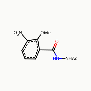 COc1c(C(=O)NNC(C)=O)cccc1[N+](=O)[O-]